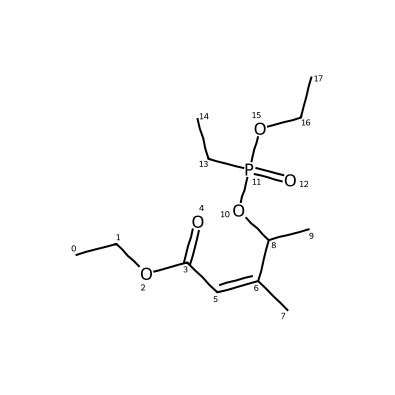 CCOC(=O)C=C(C)C(C)OP(=O)(CC)OCC